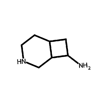 NC1CC2CCNCC12